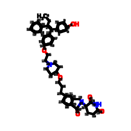 CC/C(=C(\c1ccc(O)cc1)c1ccc(OCCN2CCC(OCCCc3ccc4c(c3)CN(C3CCC(=O)NC3=O)C4=O)CC2)cc1)c1ccccc1